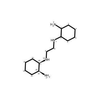 NC1CCCCC1NCCN[C@@H]1CCCC[C@@H]1N